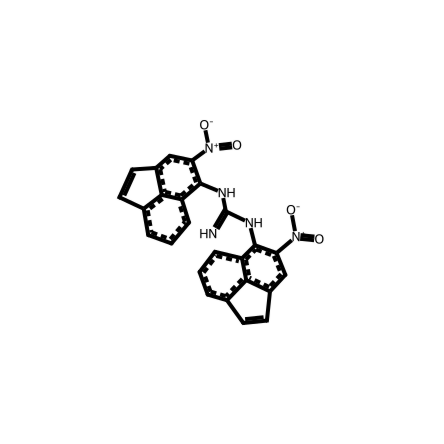 N=C(Nc1c([N+](=O)[O-])cc2c3c(cccc13)C=C2)Nc1c([N+](=O)[O-])cc2c3c(cccc13)C=C2